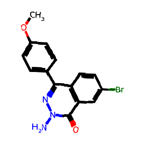 COc1ccc(-c2nn(N)c(=O)c3cc(Br)ccc23)cc1